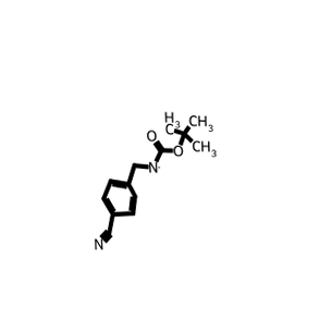 CC(C)(C)OC(=O)[N]Cc1ccc(C#N)cc1